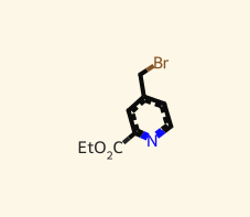 CCOC(=O)c1cc(CBr)ccn1